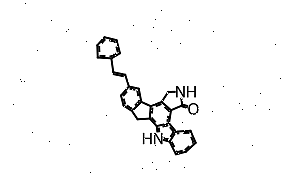 O=C1NCc2c3c(c4[nH]c5ccccc5c4c21)Cc1ccc(/C=C/c2ccccc2)cc1-3